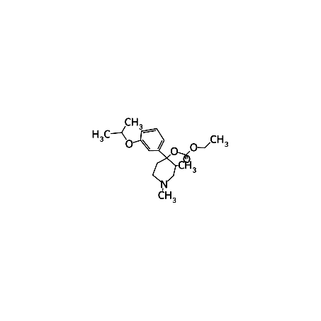 CCOC(=O)OC1(c2cccc(OC(C)C)c2)CCN(C)CC1C